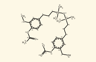 COc1cc(CCC[Si](C)(C)O[Si](C)(C)CCCc2ccc(OC(=O)Cl)c(CO)c2)ccc1OC(C)=O